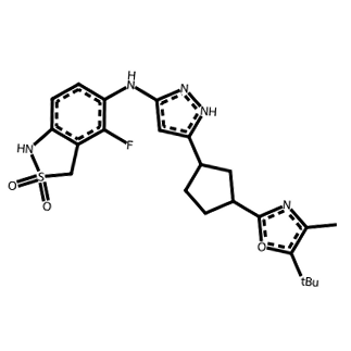 Cc1nc(C2CCC(c3cc(Nc4ccc5c(c4F)CS(=O)(=O)N5)n[nH]3)C2)oc1C(C)(C)C